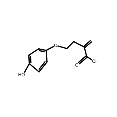 C=C(CCOc1ccc(O)cc1)C(=O)O